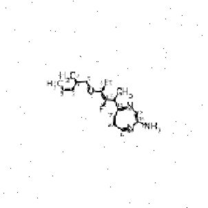 C=C(/C=C\C)CO/C(CC)=C(\F)C(C)/C1=N/C=C(N)\N=C/CC1